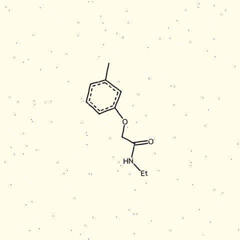 CCNC(=O)COc1cccc(C)c1